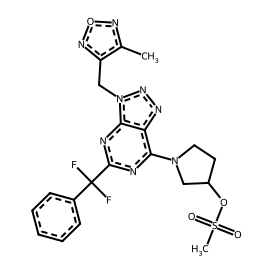 Cc1nonc1Cn1nnc2c(N3CCC(OS(C)(=O)=O)C3)nc(C(F)(F)c3ccccc3)nc21